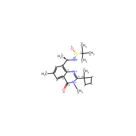 Cc1cc([C@@H](C)N[S+]([O-])C(C)(C)C)c2nc(C3(C)CCC3)n(C)c(=O)c2c1